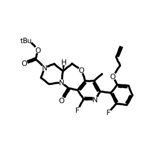 C=CCOc1cccc(F)c1-c1nc(F)c2c(c1C)OC[C@H]1CN(C(=O)OC(C)(C)C)CCN1C2=O